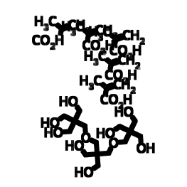 C=C(C)C(=O)O.C=C(C)C(=O)O.C=C(C)C(=O)O.C=C(C)C(=O)O.C=C(C)C(=O)O.OCC(CO)(CO)COCC(CO)(CO)COCC(CO)(CO)CO